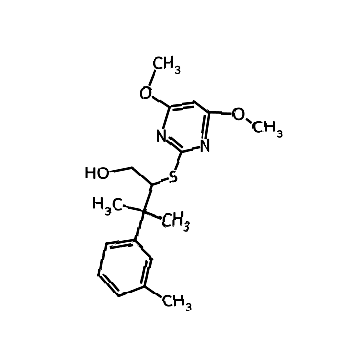 COc1cc(OC)nc(SC(CO)C(C)(C)c2cccc(C)c2)n1